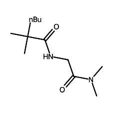 CCCCC(C)(C)C(=O)NCC(=O)N(C)C